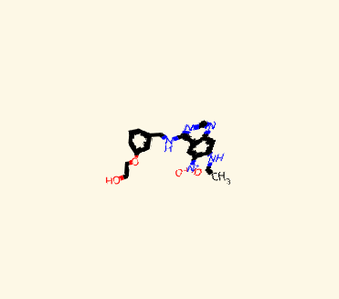 CCNc1cc2ncnc(NCc3cccc(OCCO)c3)c2cc1[N+](=O)[O-]